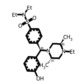 CCN1C[C@H](C)N([C@H](c2ccc(S(=O)(=O)N(CC)CC)cc2)c2cccc(O)c2)C[C@H]1C